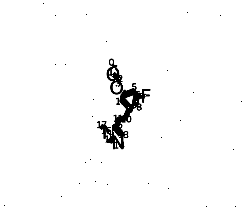 COCOc1cc(F)cc(CCc2cncn2C)c1